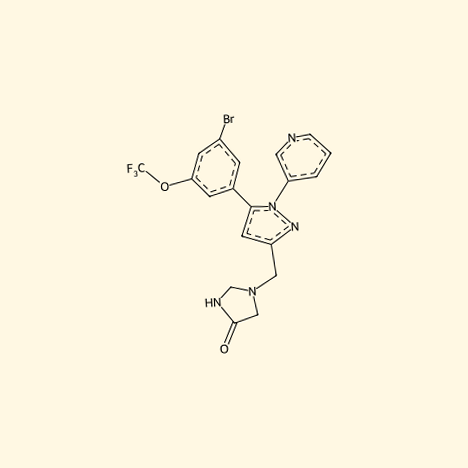 O=C1CN(Cc2cc(-c3cc(Br)cc(OC(F)(F)F)c3)n(-c3cccnc3)n2)CN1